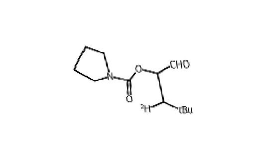 [2H]C(C(C=O)OC(=O)N1CCCC1)C(C)(C)C